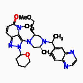 COCC[C@H]1CN(C(C)c2ccc3nccnc3c2)[C@H](C)CN1c1c2c(ccc(=O)n2C)nn1C1CCCCO1